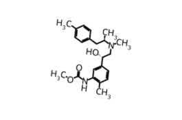 COC(=O)Nc1cc([C@H](O)CN(C)[C@H](C)Cc2ccc(C)cc2)ccc1C